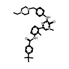 CCN1CCN(Cc2ccc(Nc3nc(-c4cccc(NC(=O)c5ccc(C(C)(C)C)cc5)c4C)cn(C)c3=O)cc2)CC1